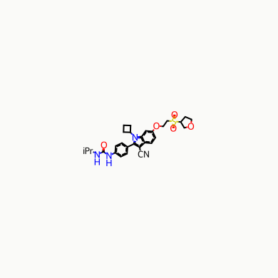 CC(C)NC(=O)Nc1ccc(-c2c(C#N)c3ccc(OCCS(=O)(=O)C4CCOC4)cc3n2C2CCC2)cc1